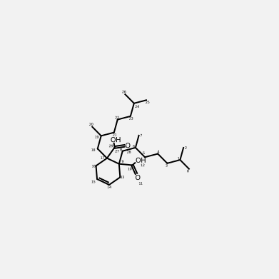 CC(C)CCCC(C)CC1(C(=O)O)CC=CCC1(CC(C)CCCC(C)C)C(=O)O